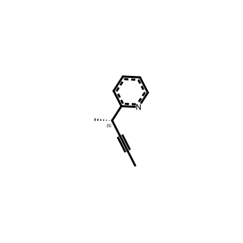 CC#C[C@H](C)c1ccccn1